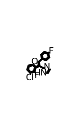 Fc1ccc(-c2oc3ccc(Cl)c(F)c3c2-c2ncc[nH]2)cc1